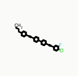 C=CCCc1ccc(C#Cc2ccc(-c3ccc(C#Cc4ccc(Cl)c(F)c4)cc3)cc2)cc1